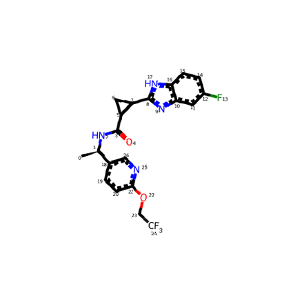 C[C@@H](NC(=O)C1CC1c1nc2cc(F)ccc2[nH]1)c1ccc(OCC(F)(F)F)nc1